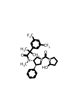 CN(C(=O)C(C)(C)c1cc(C(F)(F)F)cc(C(F)(F)F)c1)[C@@H]1CN(C(=O)N2CCCC2O)C[C@H]1c1ccccc1